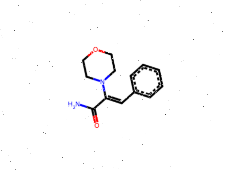 NC(=O)C(=Cc1ccccc1)N1CCOCC1